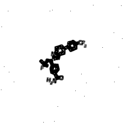 CC(C)(F)CC(c1ccc(C(N)=O)cc1)n1cc2cc(-c3ccc(C(F)(F)F)cc3)ccc2n1